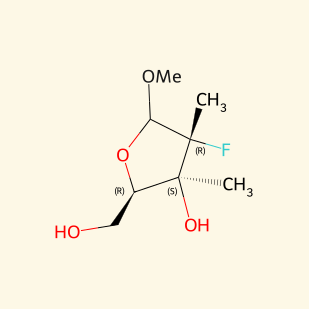 COC1O[C@H](CO)[C@](C)(O)[C@@]1(C)F